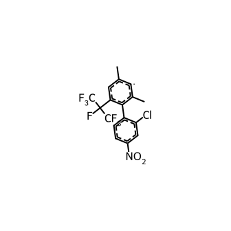 Cc1[c]c(C)c(-c2ccc([N+](=O)[O-])cc2Cl)c(C(F)(C(F)(F)F)C(F)(F)F)c1